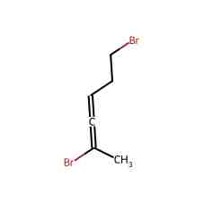 CC(Br)=C=CCCBr